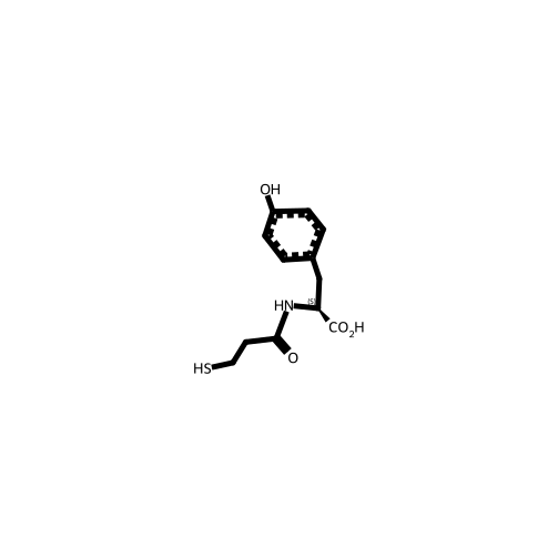 O=C(CCS)N[C@@H](Cc1ccc(O)cc1)C(=O)O